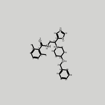 Cc1cccc(C)c1C(=O)NCC(c1cncs1)N1CCC(OCc2ccccc2)CC1